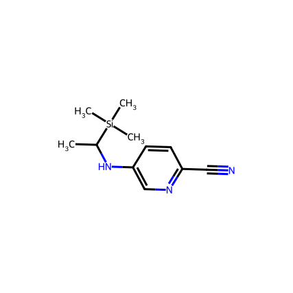 CC(Nc1ccc(C#N)nc1)[Si](C)(C)C